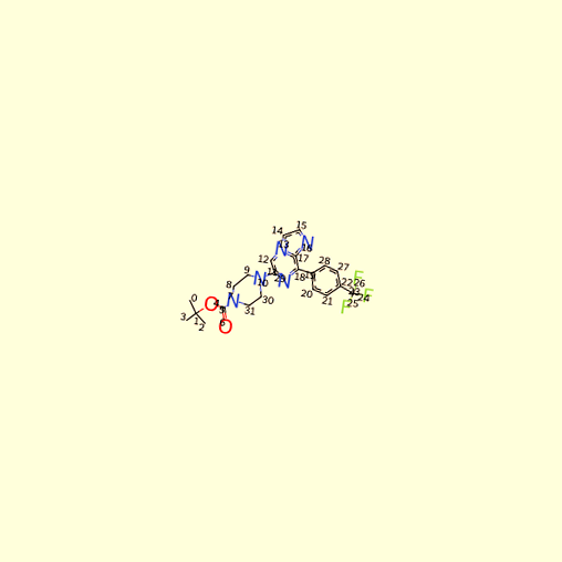 CC(C)(C)OC(=O)N1CCN(c2cn3ccnc3c(-c3ccc(C(F)(F)F)cc3)n2)CC1